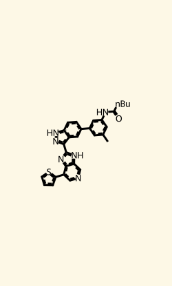 CCCCC(=O)Nc1cc(C)cc(-c2ccc3[nH]nc(-c4nc5c(-c6cccs6)cncc5[nH]4)c3c2)c1